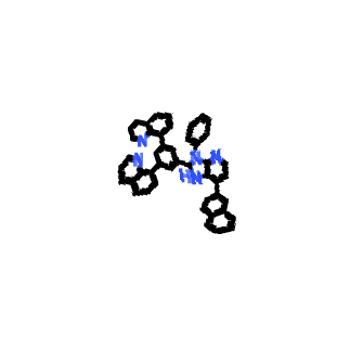 c1ccc(N2c3nccc(-c4ccc5ccccc5c4)c3NC2c2cc(-c3cccc4cccnc34)cc(-c3cccc4cccnc34)c2)cc1